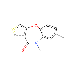 Cc1ccc2c(c1)N(C)C(=O)c1cscc1O2